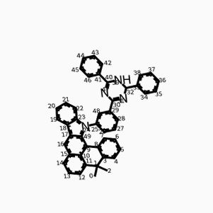 CC1(C)c2ccccc2-c2c3c1cccc3cc1c3ccccc3n(-c3cccc(C4=NC(c5ccccc5)NC(c5ccccc5)=N4)c3)c21